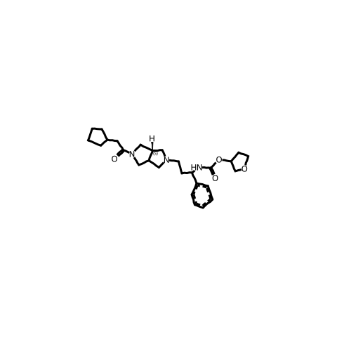 O=C(NC(CCN1CC2CN(C(=O)CC3CCCC3)C[C@@H]2C1)c1ccccc1)OC1CCOC1